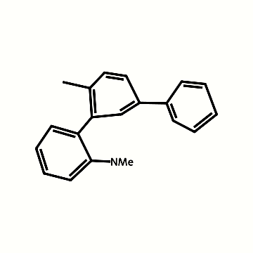 CNc1ccccc1-c1cc(-c2ccccc2)ccc1C